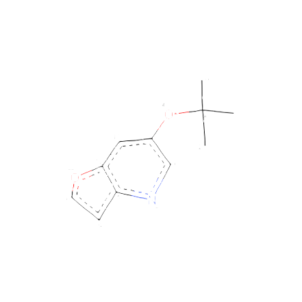 CC(C)(C)Oc1cnc2ccoc2c1